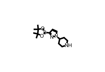 CC1(C)OB(c2ccn(C3CCNCC3)n2)OC1(C)C